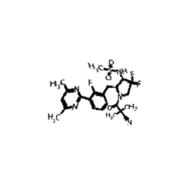 Cc1cc(C)nc(-c2cccc(C[C@H]3[C@@H](NS(C)(=O)=O)C(F)(F)CN3C(=O)C(C)(C)C#N)c2F)n1